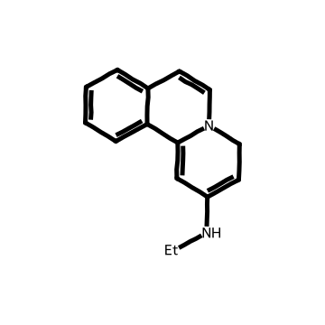 CCNC1=CCN2C=Cc3ccccc3C2=C1